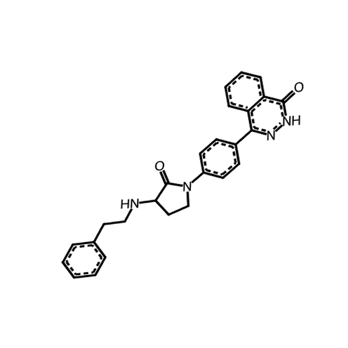 O=C1C(NCCc2ccccc2)CCN1c1ccc(-c2n[nH]c(=O)c3ccccc23)cc1